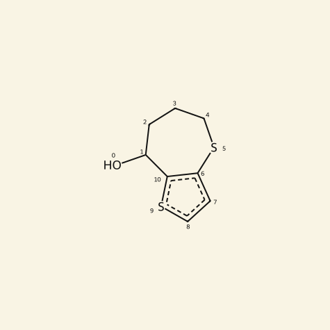 OC1CCCSc2ccsc21